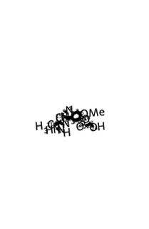 COc1cc2ncnc(Nc3n[nH]c(C)c3C)c2cc1S(=O)(=O)CCO